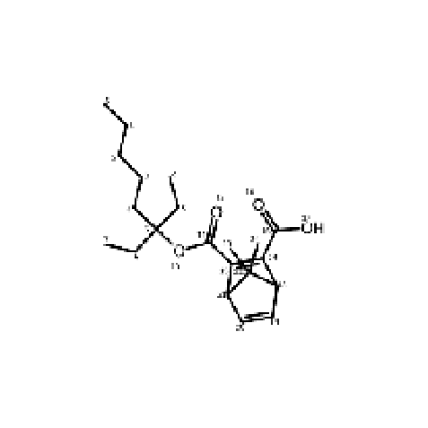 CCCCCC(CC)(CC)OC(=O)C1=C(C(=O)O)C2C=CC1C2(C)C